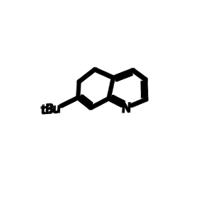 CC(C)(C)C1=Cc2ncccc2CC1